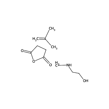 C=C(C)C.CNCCO.O=C1CCC(=O)O1